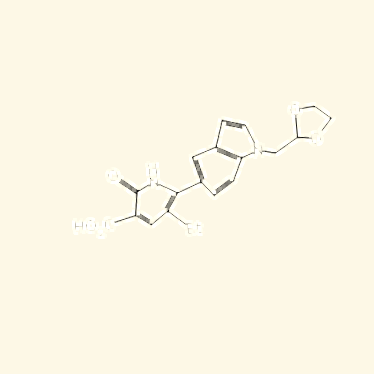 CCc1cc(C(=O)O)c(=O)[nH]c1-c1ccc2c(ccn2CC2OCCO2)c1